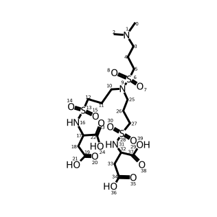 CN(C)CCCS(=O)(=O)N(CCCS(=O)(=O)NC(CC(=O)O)C(=O)O)CCCS(=O)(=O)NC(CC(=O)O)C(=O)O